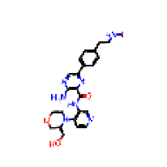 Nc1ncc(-c2ccc(CCNI)cc2)nc1C(=O)Nc1cnccc1N1CCOCC1CO